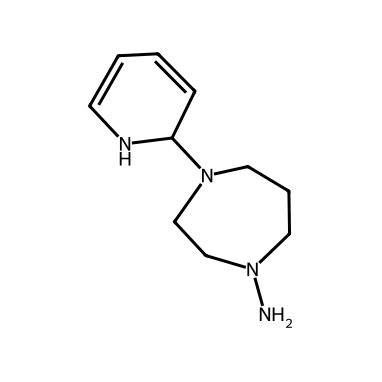 NN1CCCN(C2C=CC=CN2)CC1